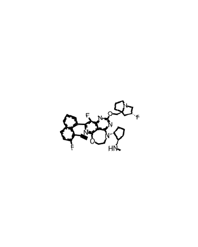 C#Cc1c(F)ccc2cccc(-c3nc4c5c(nc(OC[C@@]67CCCN6C[C@H](F)C7)nc5c3F)N([C@@H]3CCC[C@H]3NC)CCO4)c12